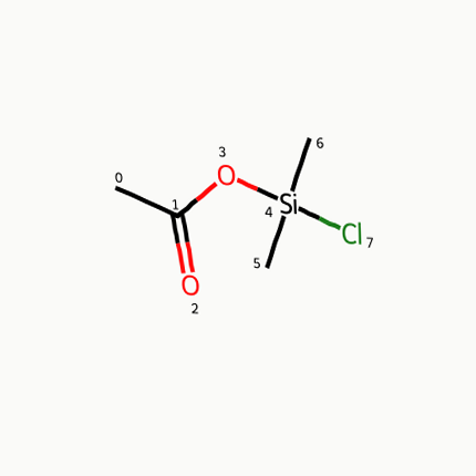 CC(=O)O[Si](C)(C)Cl